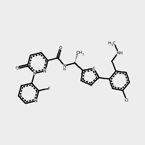 CNCc1ccc(Cl)cc1-c1ccc([C@@H](C)NC(=O)c2ccc(=O)n(-c3cccnc3F)n2)s1